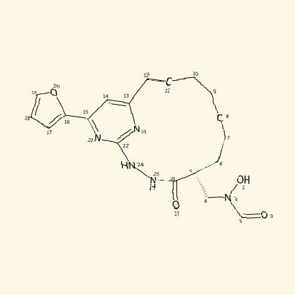 O=CN(O)C[C@H]1CCCCCCCc2cc(-c3ccco3)nc(n2)NNC1=O